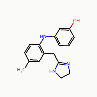 Cc1ccc(Nc2cccc(O)c2)c(CC2=NCCN2)c1